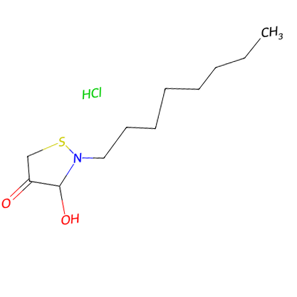 CCCCCCCCN1SCC(=O)C1O.Cl